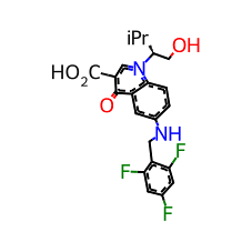 CC(C)[C@@H](CO)n1cc(C(=O)O)c(=O)c2cc(NCc3c(F)cc(F)cc3F)ccc21